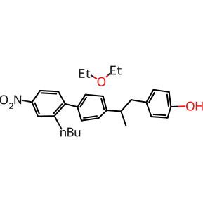 CCCCc1cc([N+](=O)[O-])ccc1-c1ccc(C(C)Cc2ccc(O)cc2)cc1.CCOCC